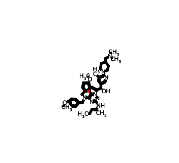 CCC[C@H](C)Nc1nc(N(Cc2ccc(OC)cc2)Cc2ccc(OC)cc2)c2ncc(C(O)c3cnc(N4CCC(CN(C)C)CC4)c(C)c3)n2n1